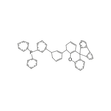 C1=CC2=C(Oc3ccccc3C23c2ccccc2-c2ccccc23)C(C2=CC(c3cccc(P(c4ccccc4)c4ccccc4)c3)CC=C2)C1